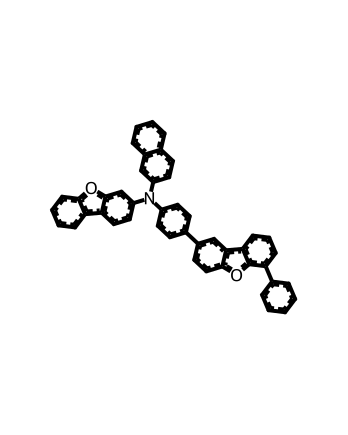 c1ccc(-c2cccc3c2oc2ccc(-c4ccc(N(c5ccc6ccccc6c5)c5ccc6c(c5)oc5ccccc56)cc4)cc23)cc1